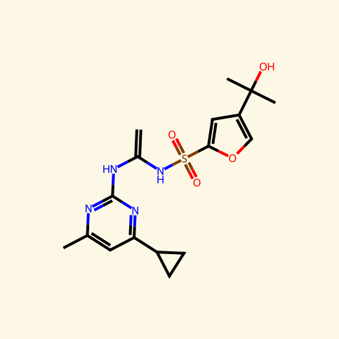 C=C(Nc1nc(C)cc(C2CC2)n1)NS(=O)(=O)c1cc(C(C)(C)O)co1